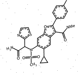 CNC(=O)c1c(-c2ccc(F)cc2)oc2cc(N(C(C(N)=O)c3nccs3)S(C)(=O)=O)c(C3CC3)cc12